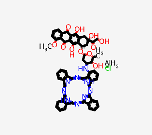 COc1cccc2c1C(=O)c1c(O)c3c(c(O)c1C2=O)C[C@@](O)(C(=O)CO)C[C@@H]3OC1CC(Nc2cccc3c4nc5nc(nc6[nH]c(nc7nc(nc([nH]4)c23)-c2ccccc2-7)c2ccccc62)-c2ccccc2-5)C(O)C(C)O1.[AlH2][Cl]